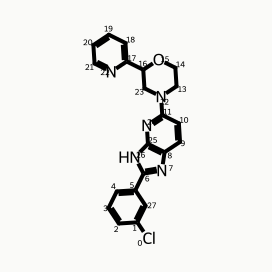 Clc1cccc(-c2nc3ccc(N4CCOC(c5ccccn5)C4)nc3[nH]2)c1